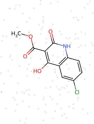 COC(=O)c1c(O)c2cc(Cl)ccc2[nH]c1=O